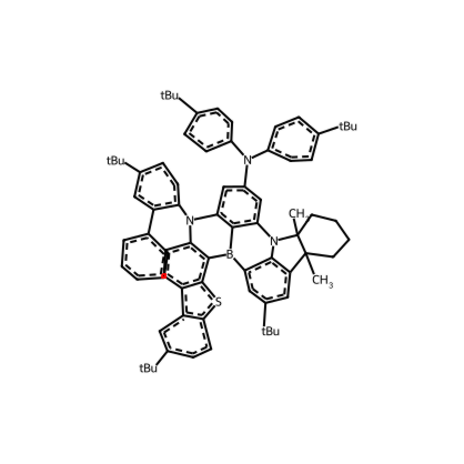 CC(C)(C)c1ccc(N(c2ccc(C(C)(C)C)cc2)c2cc3c4c(c2)N2c5c(cc(C(C)(C)C)cc5C5(C)CCCCC25C)B4c2c(ccc4c2sc2ccc(C(C)(C)C)cc24)N3c2ccc(C(C)(C)C)cc2-c2ccccc2)cc1